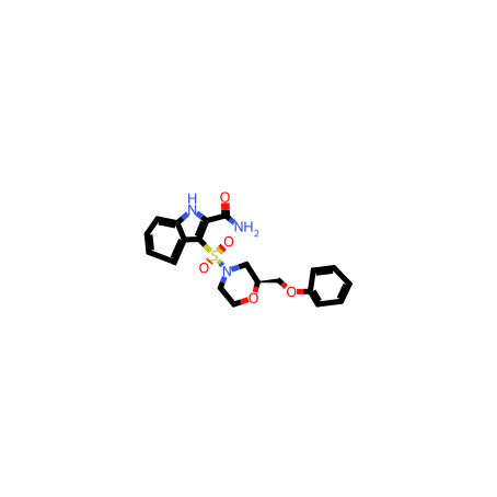 NC(=O)c1[nH]c2ccccc2c1S(=O)(=O)N1CCO[C@H](COc2ccccc2)C1